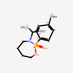 CCCCCCCCC(C(=O)O)N1CCCCOP1(=O)c1ccc(OC)cc1